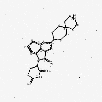 O=C1CCC(N2C(=O)c3cc(C4CCC5(CCNCC5)CC4)cc4cccc2c34)C(=O)N1